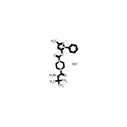 Cc1cc(OC(=O)N2CCN(C(=O)[C@@H](N)C(C)(C)C)CC2)n(-c2ccccc2)n1.Cl